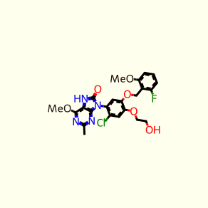 COc1cccc(F)c1COc1cc(-n2c(=O)[nH]c3c(OC)nc(C)nc32)c(Cl)cc1OCCO